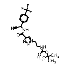 CC(C)(C)OC(=O)NCCn1cc(C(=O)NC(C#N)c2ccc(C(F)(F)F)cc2)nn1